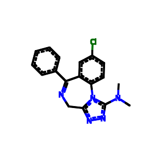 CN(C)c1nnc2n1-c1ccc(Cl)cc1C(c1ccccc1)=NC2